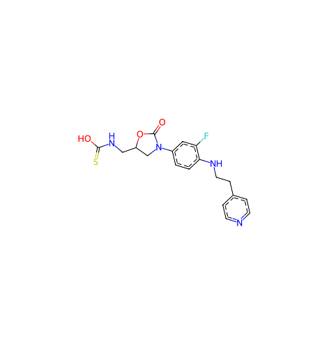 O=C1OC(CNC(O)=S)CN1c1ccc(NCCc2ccncc2)c(F)c1